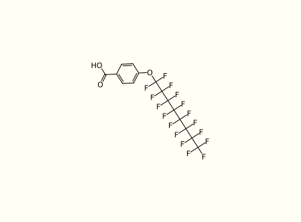 O=C(O)c1ccc(OC(F)(F)C(F)(F)C(F)(F)C(F)(F)C(F)(F)C(F)(F)C(F)(F)C(F)(F)F)cc1